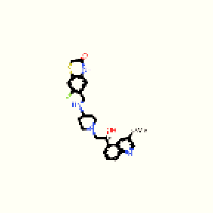 COc1cnc2cccc([C@@H](O)CN3CCC(NCc4cc5c(cc4F)SCC(=O)N5)CC3)c2c1